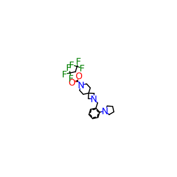 O=C(OC(C(F)(F)F)C(F)(F)F)N1CCC2(CC1)CN(Cc1ccccc1N1CCCC1)C2